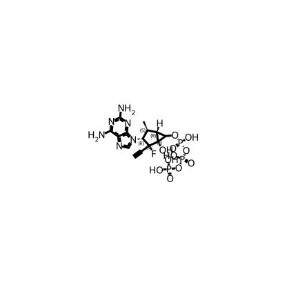 C#C[C@]1(F)[C@H](n2cnc3c(N)nc(N)nc32)[C@@H](C)[C@@H]2C(OP(=O)(O)OP(=O)(O)OP(=O)(O)O)[C@@]21O